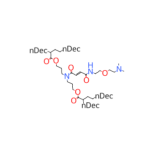 CCCCCCCCCCCCC(CCCCCCCCCC)C(=O)OCCCN(CCCOC(=O)C(CCCCCCCCCC)CCCCCCCCCCCC)C(=O)C=CC(=O)NCCOCCN(C)C